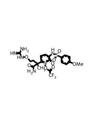 COc1ccc(S(=O)(=O)Nc2ccc(C(C)(CCONC(=N)N)C(N)=O)n(OC(=O)C(F)(F)F)c2=O)cc1